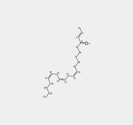 C/C=C/C(=O)CCCCC/C=C\C/C=C\C/C=C\CCCC